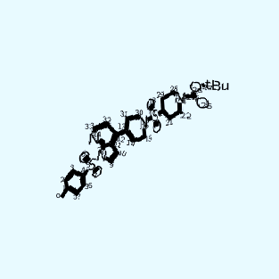 Cc1ccc(S(=O)(=O)n2ccc3c(C4=CCN(S(=O)(=O)C5CCN(C(=O)OC(C)(C)C)CC5)CC4)ccnc32)cc1